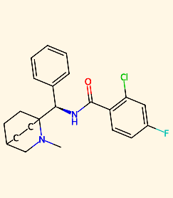 CN1CC2CCC1([C@H](NC(=O)c1ccc(F)cc1Cl)c1ccccc1)CC2